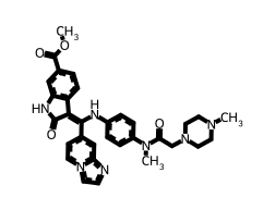 COC(=O)c1ccc2c(c1)NC(=O)C2=C(Nc1ccc(N(C)C(=O)CN2CCN(C)CC2)cc1)c1ccn2ccnc2c1